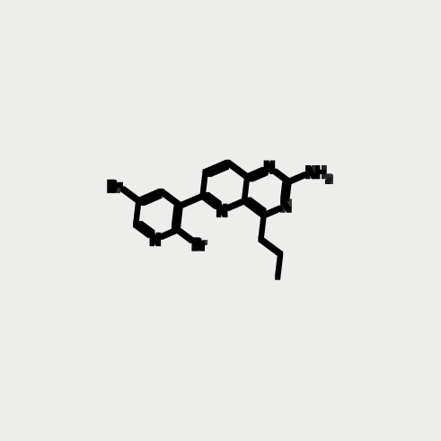 CCCc1nc(N)nc2ccc(-c3cc(Br)cnc3Br)nc12